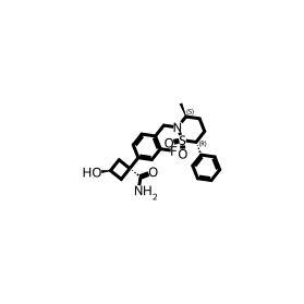 C[C@H]1CC[C@H](c2ccccc2)S(=O)(=O)N1Cc1ccc([C@]2(C(N)=O)C[C@H](O)C2)cc1F